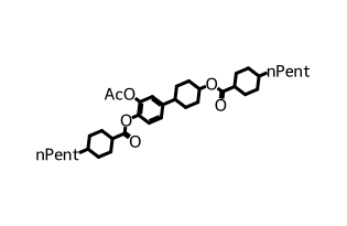 CCCCCC1CCC(C(=O)Oc2ccc(C3CCC(OC(=O)C4CCC(CCCCC)CC4)CC3)cc2OC(C)=O)CC1